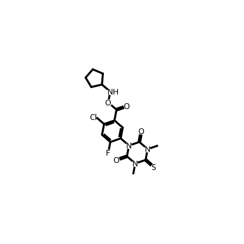 Cn1c(=S)n(C)c(=O)n(-c2cc(C(=O)ONC3CCCC3)c(Cl)cc2F)c1=O